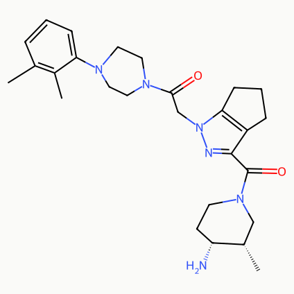 Cc1cccc(N2CCN(C(=O)Cn3nc(C(=O)N4CC[C@@H](N)[C@@H](C)C4)c4c3CCC4)CC2)c1C